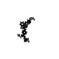 Cc1cc(CC(=O)N2CCCCC2C(=O)NCc2ccc(/C(N)=C/CNN)cc2)on1